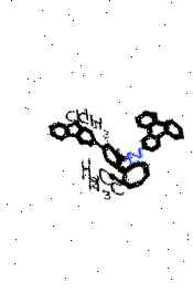 C=CC1(C)C=CC=Cc2c1c1cc(-c3ccc4c(c3)C(C)(C)c3ccccc3-4)ccc1n2-c1ccc2c3ccccc3c3ccccc3c2c1